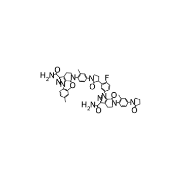 Cc1ccc(-n2nc(C(N)=O)c3c2C(=O)N(c2ccc(N4CCC(c5cc(-n6nc(C(N)=O)c7c6C(=O)N(c6ccc(N8CCCC8=O)cc6C)CC7)ccc5F)C4=O)cc2C)CC3)c(C)c1